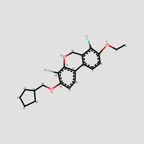 CCOc1ccc2c(c1F)COc1c-2ccc(OCC2CCCC2)c1F